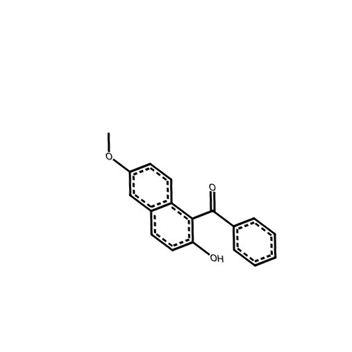 COc1ccc2c(C(=O)c3ccccc3)c(O)ccc2c1